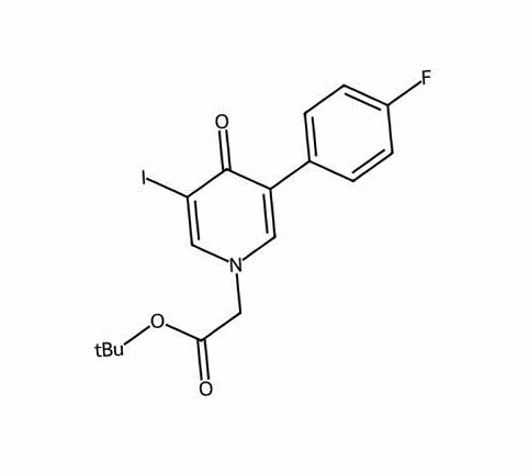 CC(C)(C)OC(=O)Cn1cc(I)c(=O)c(-c2ccc(F)cc2)c1